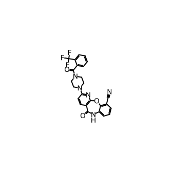 N#Cc1cccc2c1Oc1nc(N3CCN(C(=O)c4ccccc4C(F)(F)F)CC3)ccc1C(=O)N2